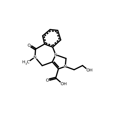 CN1CC2=C(C(=O)O)N(CCO)CN2c2ccccc2C1=O